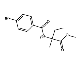 CCC(C)(NC(=O)c1ccc(Br)cc1)C(=O)OC